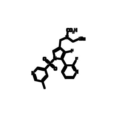 Cc1cncc(S(=O)(=O)n2cc(CN(CC(C)(C)C)C(=O)O)c(F)c2-c2cccnc2F)c1